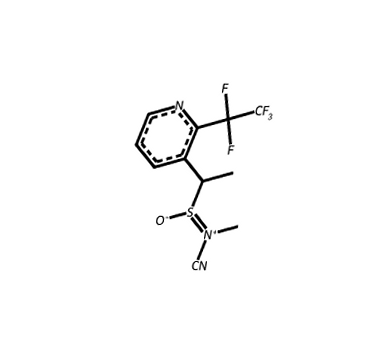 CC(c1cccnc1C(F)(F)C(F)(F)F)S([O-])=[N+](C)C#N